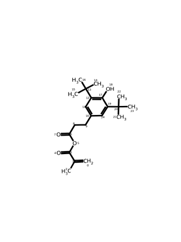 C=C(C)C(=O)OC(=O)CCc1cc(C(C)(C)C)c(O)c(C(C)(C)C)c1